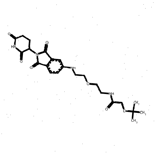 CC(C)(C)OCC(=O)NCCOCCNc1ccc2c(c1)C(=O)N(C1CCC(=O)NC1=O)C2=O